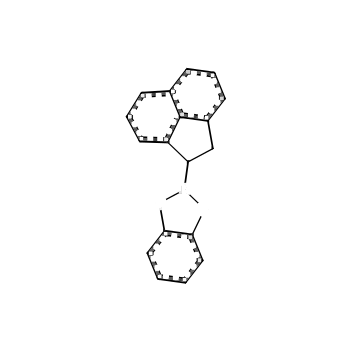 c1ccc2c(c1)OB(C1Cc3cccc4cccc1c34)O2